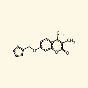 Cc1c(C)c2ccc(OCc3cccs3)cc2oc1=O